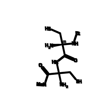 CCN[C@@](N)(CS)C(=O)NC(N)(CS)C(=O)NC